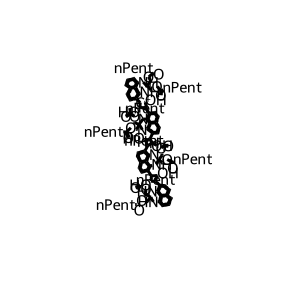 CCCCCC(=O)OCC1(COC(=O)CCCCC)Nc2cccc3ccc([C+]4C(O)C(c5ccc6ccc(C7C(O)C(c8ccc9ccc(C%10C(O)C(c%11ccc%12cccc%13c%12c%11NC(COC(=O)CCCCC)(COC(=O)CCCCC)N%13)C%10O)c%10c9c8NC(COC(=O)CCCCC)(COC(=O)CCCCC)N%10)C7O)c7c6c5NC(COC(=O)CCCCC)(COC(=O)CCCCC)N7)C4O)c(c23)N1